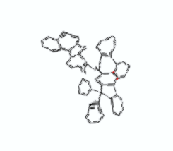 c1ccc(-c2ccccc2N(c2ccc3c(c2)C(c2ccccc2)(c2ccccc2)c2ccccc2-3)c2nccc3c2sc2ccc4ccccc4c23)cc1